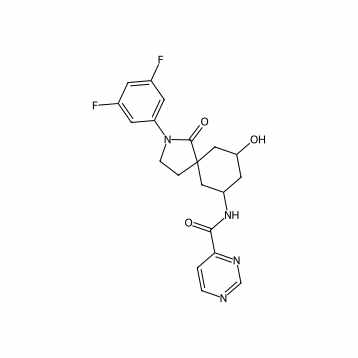 O=C(NC1CC(O)CC2(CCN(c3cc(F)cc(F)c3)C2=O)C1)c1ccncn1